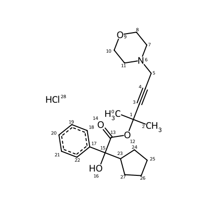 CC(C)(C#CCN1CCOCC1)OC(=O)C(O)(c1ccccc1)C1CCCC1.Cl